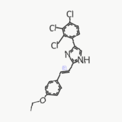 CCOc1ccc(/C=C/c2nc(-c3ccc(Cl)c(Cl)c3Cl)c[nH]2)cc1